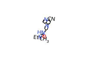 CCN(C)CC(=O)NCC1CCN(c2ccc(C#N)c3ncccc23)CC1